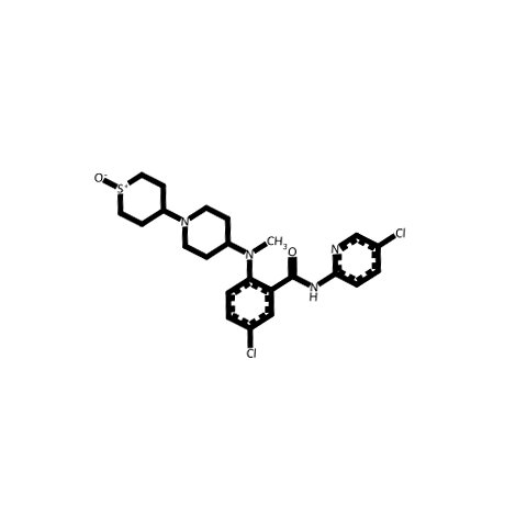 CN(c1ccc(Cl)cc1C(=O)Nc1ccc(Cl)cn1)C1CCN(C2CC[S+]([O-])CC2)CC1